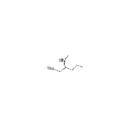 [C]#CCC(CCC)NC